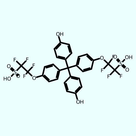 O=S(=O)(O)C(F)(F)C(F)(F)Oc1ccc(C(c2ccc(O)cc2)(c2ccc(O)cc2)c2ccc(OC(F)(F)C(F)(F)S(=O)(=O)O)cc2)cc1